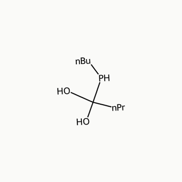 CCCCPC(O)(O)CCC